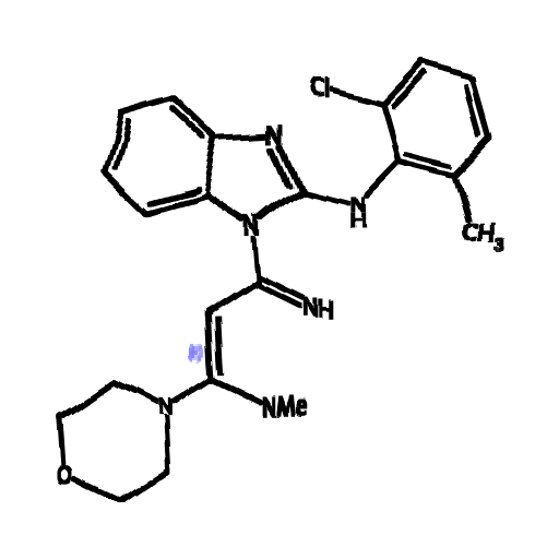 CN/C(=C\C(=N)n1c(Nc2c(C)cccc2Cl)nc2ccccc21)N1CCOCC1